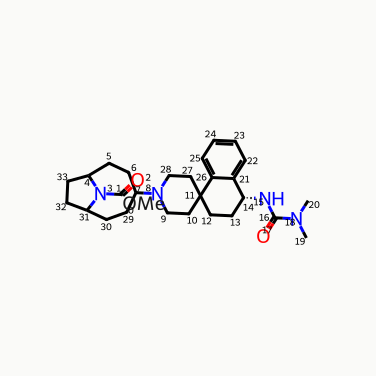 COC(=O)N1C2CCC(N3CCC4(CC[C@@H](NC(=O)N(C)C)c5ccccc54)CC3)CCC1CC2